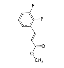 COC(=O)/C=C/c1cccc(F)c1F